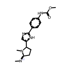 C/N=C1/CCC(c2cnc(-c3ccc(NC(=O)OC)cc3)[nH]2)N1C